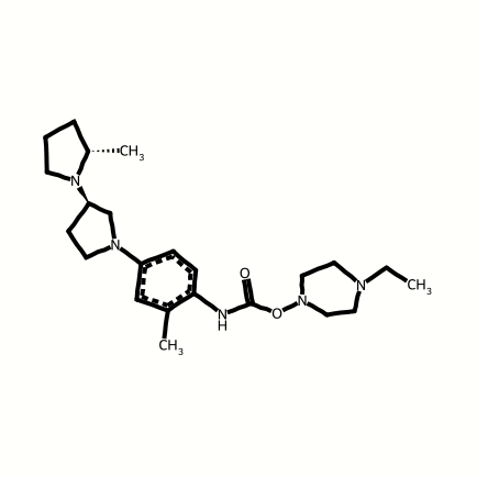 CCN1CCN(OC(=O)Nc2ccc(N3CC[C@@H](N4CCC[C@@H]4C)C3)cc2C)CC1